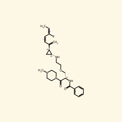 C=C(/C=C\C(F)=C/C)[C@@H]1C[C@H]1NCCOC[C@H](NC(=O)c1ccccc1)C(=O)N1CCN(C)CC1